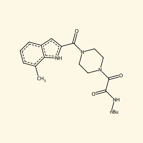 CCCCNC(=O)C(=O)N1CCN(C(=O)c2cc3cccc(C)c3[nH]2)CC1